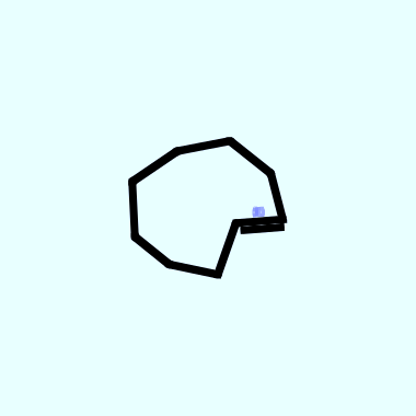 C1=C/CCCCCCC/1